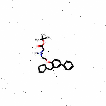 CN(CCOc1ccc(-c2ccccc2)cc1CC1CCCCC1)CC(=O)OC(C)(C)C